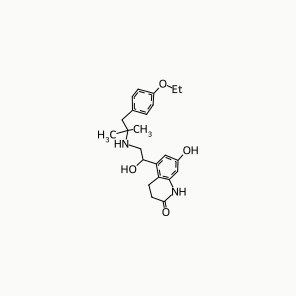 CCOc1ccc(CC(C)(C)NCC(O)c2cc(O)cc3c2CCC(=O)N3)cc1